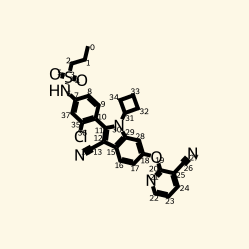 CCCS(=O)(=O)Nc1ccc(-c2c(C#N)c3ccc(Oc4ncccc4C#N)cc3n2C2CCC2)c(Cl)c1